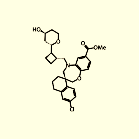 COC(=O)c1ccc2c(c1)N(C[C@@H]1CC[C@H]1[C@@H]1C[C@@H](O)CCO1)C[C@@]1(CCCc3cc(Cl)ccc31)CO2